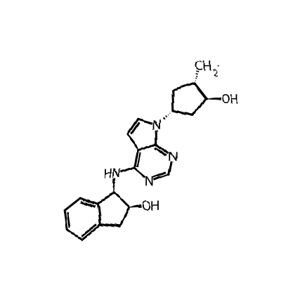 [CH2][C@H]1C[C@@H](n2ccc3c(N[C@@H]4c5ccccc5C[C@@H]4O)ncnc32)C[C@@H]1O